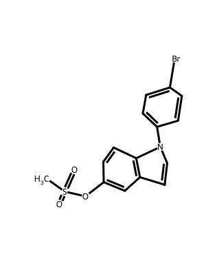 CS(=O)(=O)Oc1ccc2c(ccn2-c2ccc(Br)cc2)c1